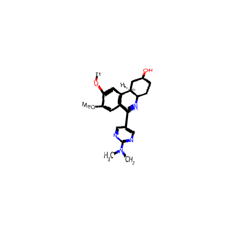 CCOc1cc2c(cc1OC)C(c1cnc(N(C)C)nc1)=NC1CCC(O)C[C@H]21